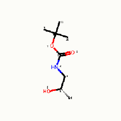 [CH2][C@H](O)CNC(=O)OC(C)(C)C